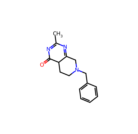 CC1=NC(=O)C2CCN(Cc3ccccc3)CC2=N1